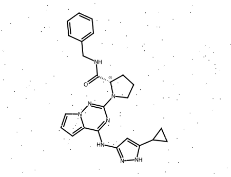 O=C(NCc1ccccc1)[C@@H]1CCCN1c1nc(Nc2cc(C3CC3)[nH]n2)c2cccn2n1